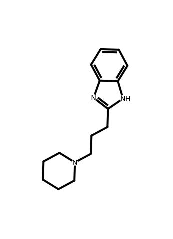 c1ccc2[nH]c(CCCN3CCCCC3)nc2c1